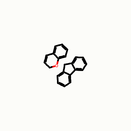 C1=Cc2ccccc2OC1.c1ccc2c(c1)Cc1ccccc1-2